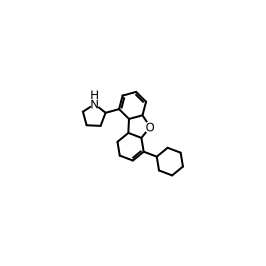 C1=CC2OC3C(C4CCCCC4)=CCCC3C2C(C2CCCN2)=C1